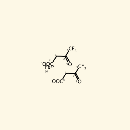 O=C([O-])CC(=O)C(F)(F)F.O=C([O-])CC(=O)C(F)(F)F.[Fe+2]